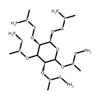 CP(P)SO[C@H]1OC(OP(C)SP)[C@@H](OP(C)SP)C(OP(C)SP)[C@H]1OSP(C)P